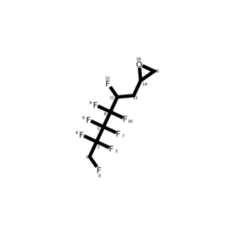 FCC(F)(F)C(F)(F)C(F)(F)[C](F)CC1CO1